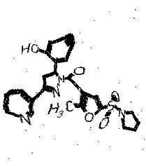 Cc1oc(S(=O)(=O)N2CCCC2)cc1C(=O)N1N=C(c2cccnc2)CC1c1ccccc1O